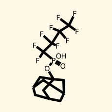 O=P(O)(OC12CC3CC(CC(C3)C1)C2)C(F)(F)C(F)(F)C(F)(F)C(F)(F)F